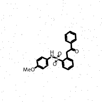 COc1ccc(NS(=O)(=O)c2ccccc2CC(=O)c2ccccc2)cc1